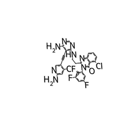 Nc1cc(C(F)(F)F)c(C#Cc2c(N)ncnc2NCCc2nc3cccc(Cl)c3c(=O)n2-c2cc(F)cc(F)c2)cn1